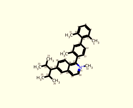 Cc1cc(-c2c(C)cccc2C)ccc1-c1c2ccc(C(C(C)C)C(C)C)cc2cc[n+]1C